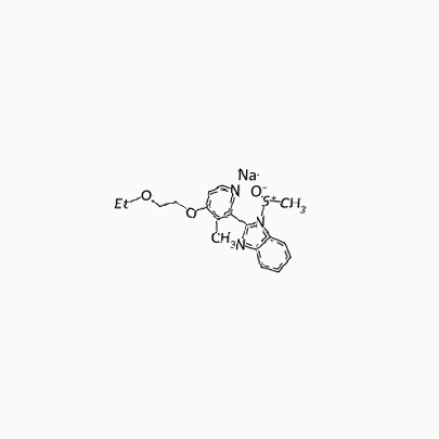 CCOCCOc1ccnc(-c2nc3ccccc3n2[S+](C)[O-])c1C.[Na]